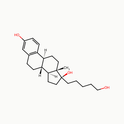 C[C@]12CC[C@@H]3c4ccc(O)cc4CC[C@H]3[C@@H]1CC[C@@]2(O)CCCCCO